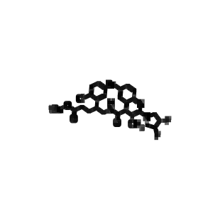 Cc1c(N2C[C@@H](F)[C@@H](F)C2)nc2ccc(Br)cc2c1C(=O)NCC(CCC(=O)OC(C)(C)C)c1ccccc1Cl